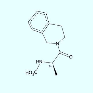 C[C@@H](NC(=O)O)C(=O)N1CCc2ccccc2C1